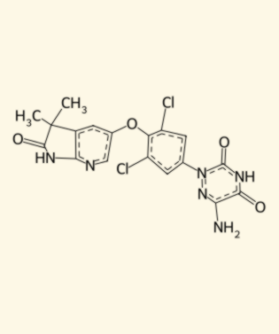 CC1(C)C(=O)Nc2ncc(Oc3c(Cl)cc(-n4nc(N)c(=O)[nH]c4=O)cc3Cl)cc21